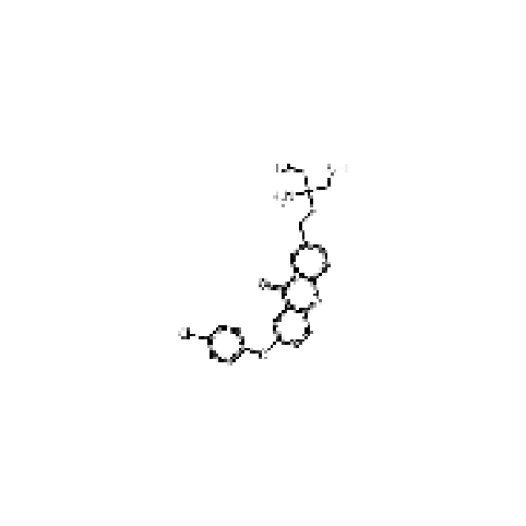 NC(CO)(CO)CCc1ccc2sc3ccc(Oc4ccc(Cl)cc4)cc3c(=O)c2c1